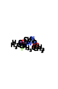 Cc1cn(-c2ccc(F)cc2C(=O)N(C)C(C)C)c2cncc(CC3CCN(CC4CCN(C(=O)OC(C)(C)C)CC4)C3)c12